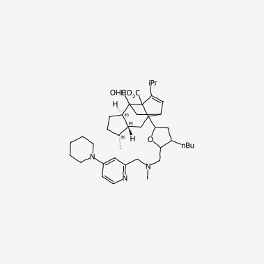 CCCCC1CC(C23C[C@@H]4[C@H](C)CC[C@H]4C4(C=O)CC2C=C(C(C)C)C34C(=O)O)OC1CN(C)Cc1cc(N2CCCCC2)ccn1